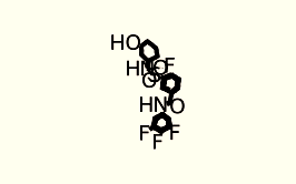 O=C(Nc1cc(F)c(F)c(F)c1)c1ccc(F)c(S(=O)(=O)NC2CCCC(O)C2)c1